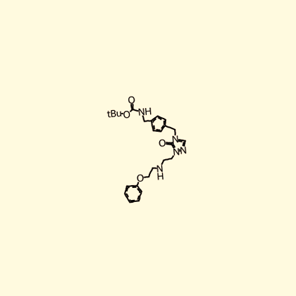 CC(C)(C)OC(=O)NCc1ccc(Cn2cnn(CCNCCOc3ccccc3)c2=O)cc1